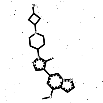 COc1cc(-c2cnn(C3CCN(C4CC(N)C4)CC3)c2C)cn2nccc12